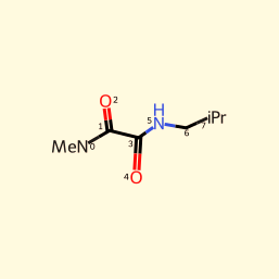 CNC(=O)C(=O)NCC(C)C